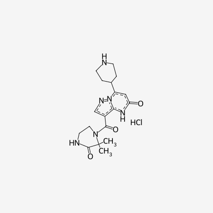 CC1(C)C(=O)NCCN1C(=O)c1cnn2c(C3CCNCC3)cc(=O)[nH]c12.Cl